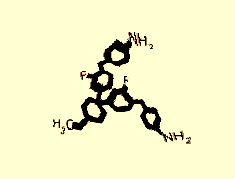 CCC1CCC(c2ccc(Cc3ccc(N)cc3)c(F)c2)(c2ccc(Cc3ccc(N)cc3)c(F)c2)CC1